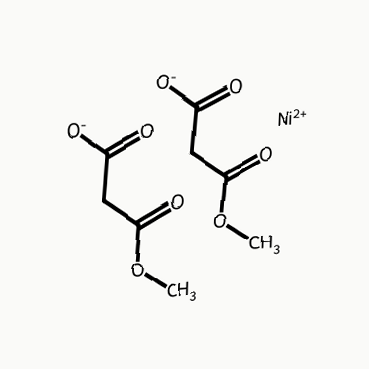 COC(=O)CC(=O)[O-].COC(=O)CC(=O)[O-].[Ni+2]